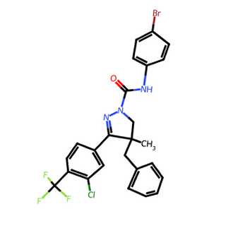 CC1(Cc2ccccc2)CN(C(=O)Nc2ccc(Br)cc2)N=C1c1ccc(C(F)(F)F)c(Cl)c1